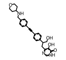 O=c1[nH]cnc(CC(CO)c2ccc(C#Cc3ccc(CNC4CCOCC4)cc3)cc2)c1O